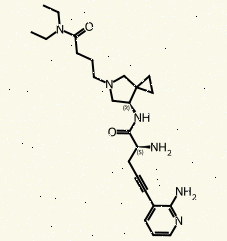 CCN(CC)C(=O)CCCN1C[C@H](NC(=O)[C@@H](N)CC#Cc2cccnc2N)C2(CC2)C1